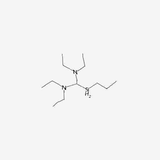 CCC[SiH2]C(N(CC)CC)N(CC)CC